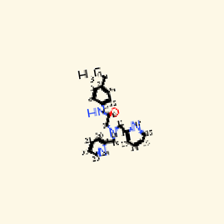 CCc1ccc(NC(=O)CN(Cc2ccccn2)Cc2ccccn2)cc1